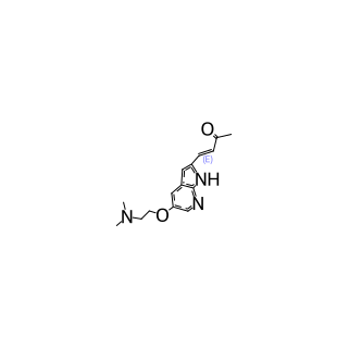 CC(=O)/C=C/c1cc2cc(OCCN(C)C)cnc2[nH]1